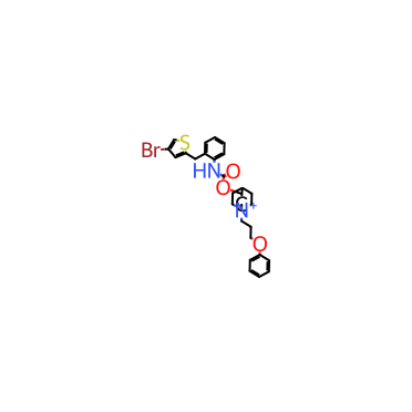 O=C(Nc1ccccc1Cc1cc(Br)cs1)OC1C[N+]2(CCCOc3ccccc3)CCC1CC2